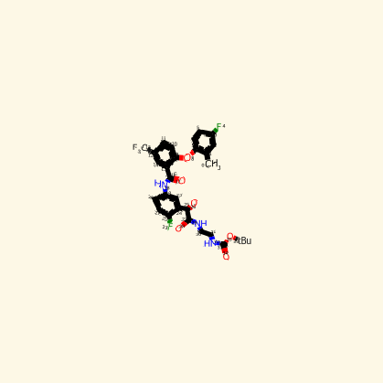 Cc1cc(F)ccc1Oc1ccc(C(F)(F)F)cc1C(=O)Nc1ccc(F)c(C(=O)C(=O)NCCNC(=O)OC(C)(C)C)c1